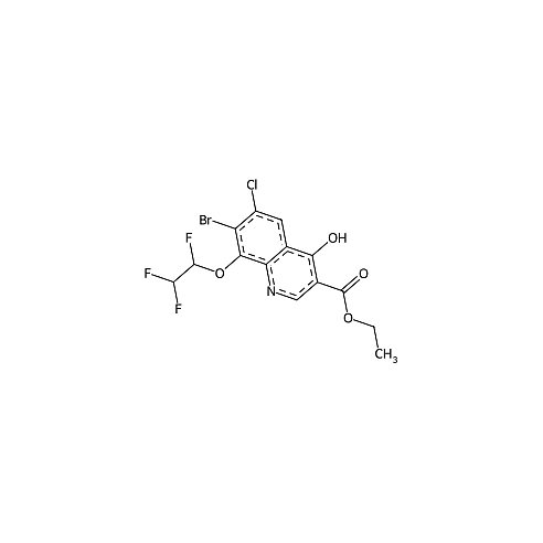 CCOC(=O)c1cnc2c(OC(F)C(F)F)c(Br)c(Cl)cc2c1O